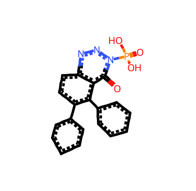 O=c1c2c(-c3ccccc3)c(-c3ccccc3)ccc2nnn1P(=O)(O)O